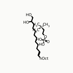 CCCCCCCCC=CCCCCCCCCC(O)CO.C[N+](C)(C)CCOP(=O)(O)O